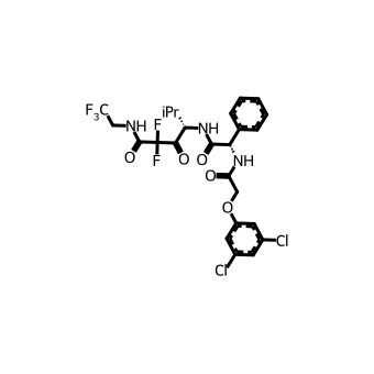 CC(C)[C@H](NC(=O)[C@@H](NC(=O)COc1cc(Cl)cc(Cl)c1)c1ccccc1)C(=O)C(F)(F)C(=O)NCC(F)(F)F